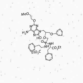 CCOC(=O)[C@H](Cc1ccccc1)NP(=O)(COC(COc1ccccc1)Cn1c(O)nc2c(N)nc(OCCOC)nc21)N[C@@H](Cc1ccccc1)C(=O)OCC